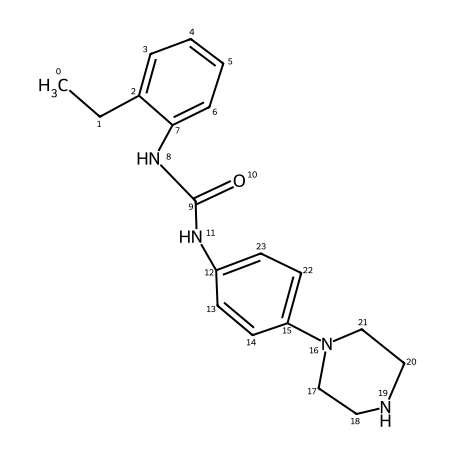 CCc1ccccc1NC(=O)Nc1ccc(N2CCNCC2)cc1